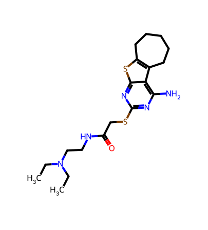 CCN(CC)CCNC(=O)CSc1nc(N)c2c3c(sc2n1)CCCCC3